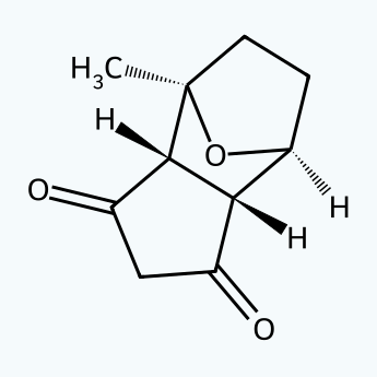 C[C@]12CC[C@H](O1)[C@@H]1C(=O)CC(=O)[C@@H]12